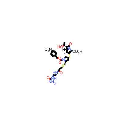 CC(O)[C@@H]1C(=O)N2C(C(=O)O)=C(S[C@H]3C[C@@H](CSCCC(=O)NCCNC(N)=O)N(C(=O)OCc4ccc([N+](=O)[O-])cc4)C3)[C@H](C)[C@H]12